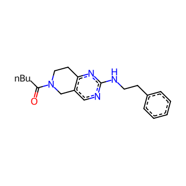 CCCCC(=O)N1CCc2nc(NCCc3ccccc3)ncc2C1